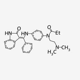 CCC(=O)N(CCN(C)C)c1ccc(N/C(=C2\C(=O)Nc3ccccc32)c2ccccc2)cc1